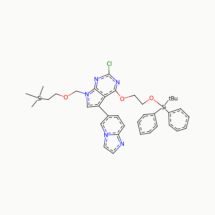 CC(C)(C)[Si](OCCOc1nc(Cl)nc2c1c(-c1ccc3nccn3c1)cn2COCC[Si](C)(C)C)(c1ccccc1)c1ccccc1